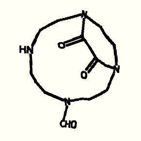 O=CN1CCNCCN2CCN(CC1)C(=O)C2=O